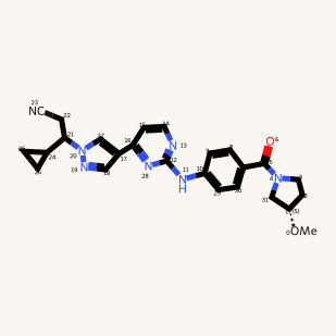 CO[C@H]1CCN(C(=O)c2ccc(Nc3nccc(-c4cnn(C(CC#N)C5CC5)c4)n3)cc2)C1